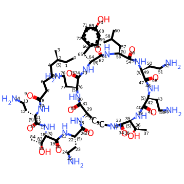 CC[C@H](C)CCCCC(=O)N[C@@H](CCN)C(=O)N[C@H](C(=O)N[C@@H](CCN)C(=O)N[C@H]1CCNC(=O)[C@H]([C@@H](C)O)NC(=O)[C@H](CCN)NC(=O)[C@H](CCN)NC(=O)[C@H](CC(C)C)NC(=O)[C@@H](Cc2ccc(O)cc2)NC(=O)[C@H](CCN)NC1=O)[C@@H](C)O